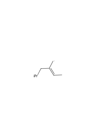 [CH2]C(=CC)CC(C)C